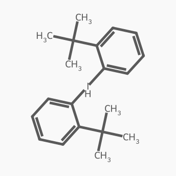 CC(C)(C)c1ccccc1[IH]c1ccccc1C(C)(C)C